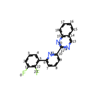 Fc1cccc(-c2cccc(-c3ncc4ccccc4n3)n2)c1F